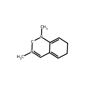 CN1[CH-][N+](C)=CC2=CCCC=C21